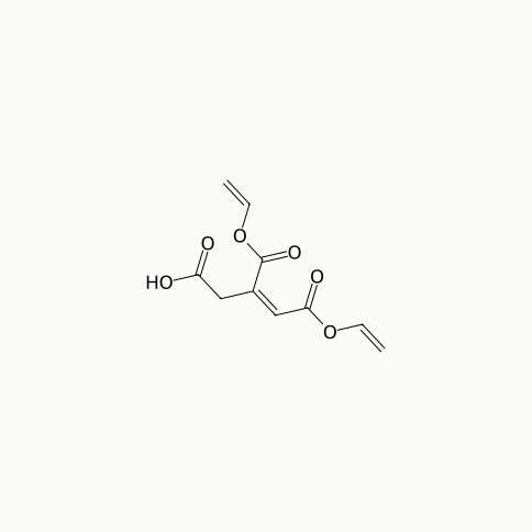 C=COC(=O)/C=C(/CC(=O)O)C(=O)OC=C